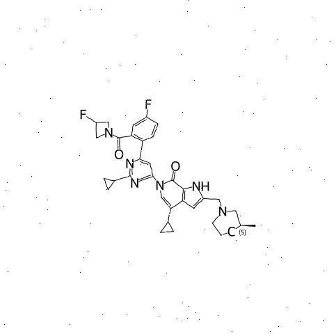 C[C@H]1CCCN(Cc2cc3c(C4CC4)cn(-c4cc(-c5ccc(F)cc5C(=O)N5CC(F)C5)nc(C5CC5)n4)c(=O)c3[nH]2)C1